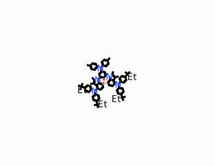 CCC(C)(C)c1ccc(N(c2ccc(C(C)(C)CC)cc2)c2ccc3c4c2c(C)c(C)n4-c2cc(N(c4ccc(C)cc4)c4ccc(C)cc4)cc4c2B3c2ccc(N(c3ccc(C(C)(C)CC)cc3)c3ccc(C(C)(C)CC)cc3)c3c(C)c(C)n-4c23)cc1